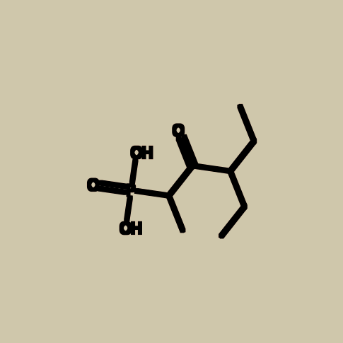 CCC(CC)C(=O)C(C)P(=O)(O)O